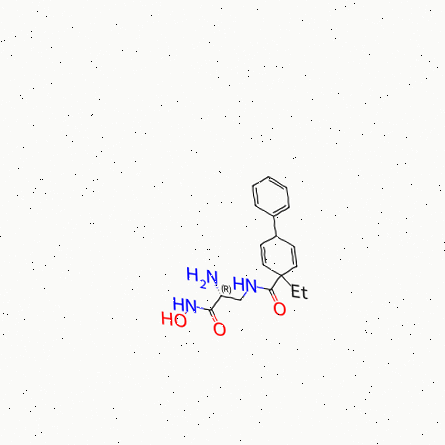 CCC1(C(=O)NC[C@@H](N)C(=O)NO)C=CC(c2ccccc2)C=C1